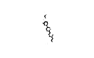 CC/C=C/C1CCC(C2CCC(c3ccc(OCCCC)c(F)c3F)CC2)OC1